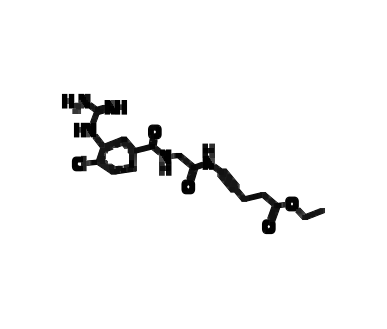 CCOC(=O)CCC#CNC(=O)CNC(=O)c1ccc(Cl)c(NC(=N)N)c1